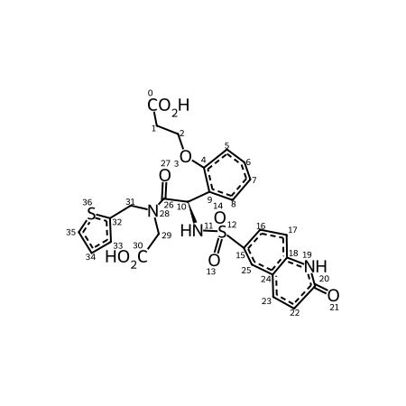 O=C(O)CCOc1ccccc1[C@@H](NS(=O)(=O)c1ccc2[nH]c(=O)ccc2c1)C(=O)N(CC(=O)O)Cc1cccs1